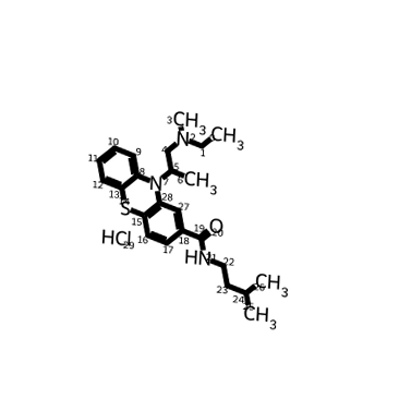 CCN(C)CC(C)N1c2ccccc2Sc2ccc(C(=O)NCCC(C)C)cc21.Cl